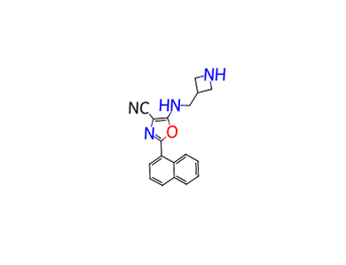 N#Cc1nc(-c2cccc3ccccc23)oc1NCC1CNC1